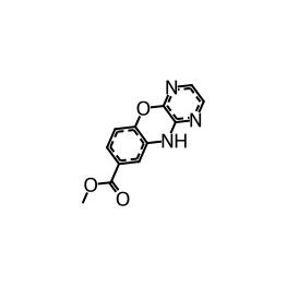 COC(=O)c1ccc2c(c1)Nc1nccnc1O2